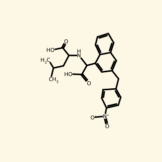 CC(C)CC(NC(C(=O)O)c1cc(Cc2ccc([N+](=O)[O-])cc2)cc2ccccc12)C(=O)O